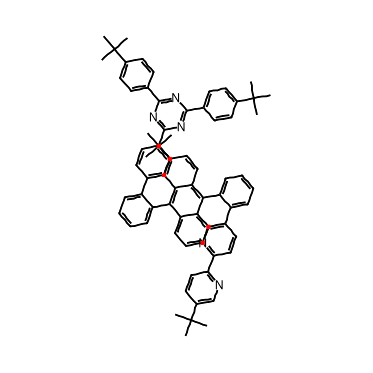 CC(C)(C)c1ccc(-c2nc(-c3ccc(-c4ccccc4-c4c5ccccc5c(-c5ccccc5-c5ccc(-c6ccc(C(C)(C)C)cn6)nc5)c5ccc(C(C)(C)C)cc45)cc3)nc(-c3ccc(C(C)(C)C)cc3)n2)cc1